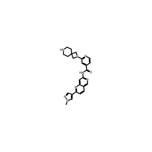 Cn1cc(-c2ccc3cnc(NC(=O)c4ccnc(N5CC6(CCNCC6)C5)c4)cc3n2)cn1